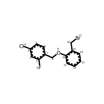 Fc1cc(Cl)ccc1COc1ccccc1CBr